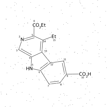 CCOC(=O)c1ncc2[nH]c3ccc(C(=O)O)cc3c2c1CC